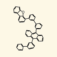 c1ccc(-c2cccc(-c3c4ccccc4c(-c4cccc(-c5cccc(-c6cccc7c6oc6ccccc67)c5)c4)c4ccccc34)c2)cc1